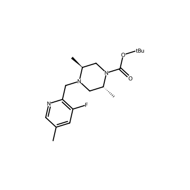 Cc1cnc(CN2C[C@@H](C)N(C(=O)OC(C)(C)C)C[C@@H]2C)c(F)c1